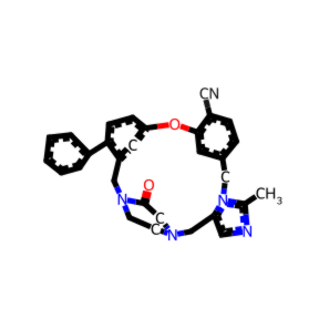 Cc1ncc2n1Cc1ccc(C#N)c(c1)Oc1ccc(-c3ccccc3)c(c1)CN1CCN(CC1=O)C2